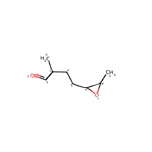 CC(C=O)CCC1OC1C